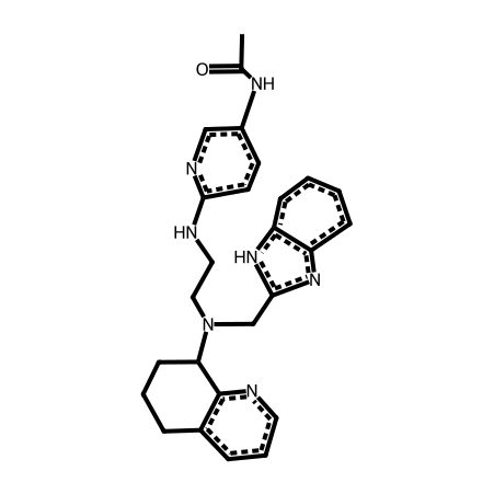 CC(=O)Nc1ccc(NCCN(Cc2nc3ccccc3[nH]2)C2CCCc3cccnc32)nc1